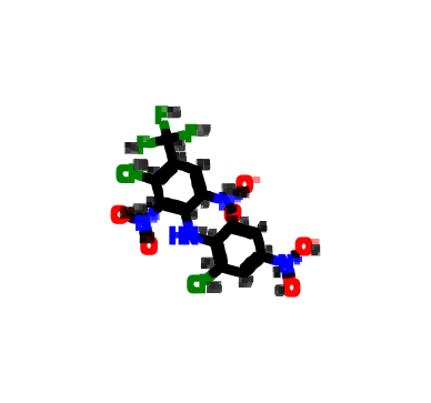 O=[N+]([O-])c1ccc(Nc2c([N+](=O)[O-])cc(C(F)(F)F)c(Cl)c2[N+](=O)[O-])c(Cl)c1